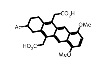 COc1ccc(OC)c2cc3c(CC(=O)O)c4c(c(CC(=O)O)c3cc12)CCC(C(C)=O)C4